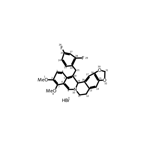 Br.COc1ccc2c(c1OC)=CN1CCc3cc4c(cc3C1C=2Cc1ccc(F)cc1F)OCO4